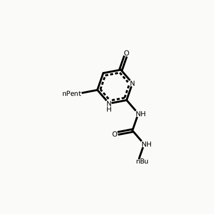 CCCCCc1cc(=O)nc(NC(=O)NCCCC)[nH]1